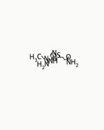 CCCN=C(N)Nc1ccnc(SCCCC(N)=O)n1